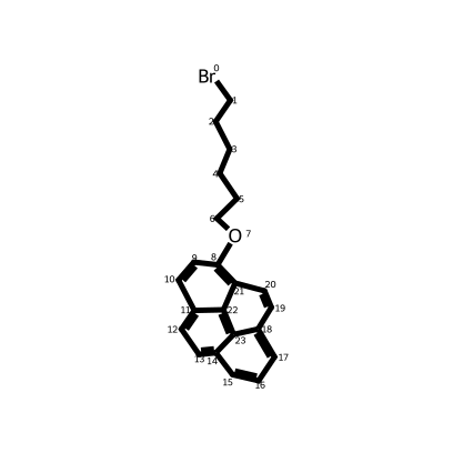 BrCCCCCCOc1ccc2ccc3cccc4ccc1c2c34